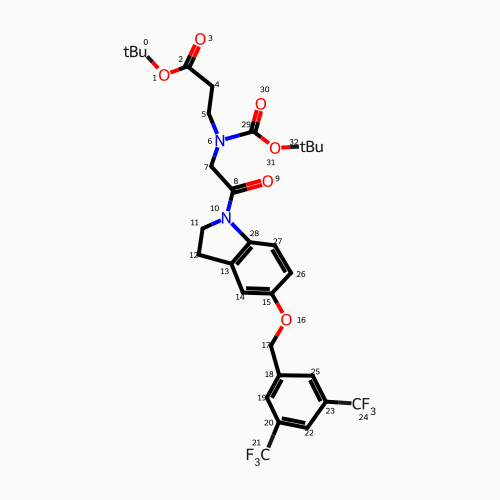 CC(C)(C)OC(=O)CCN(CC(=O)N1CCc2cc(OCc3cc(C(F)(F)F)cc(C(F)(F)F)c3)ccc21)C(=O)OC(C)(C)C